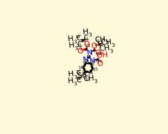 CC(C)(C)OC(=O)N(C(=O)OC(C)(C)C)c1nc2c[c]([Sn]([CH3])([CH3])[CH3])ccc2n1C(=O)O